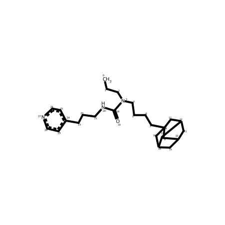 CCCN(CCCCC12CC3CC(CC(C3)C1)C2)C(=O)NCCCc1ccncc1